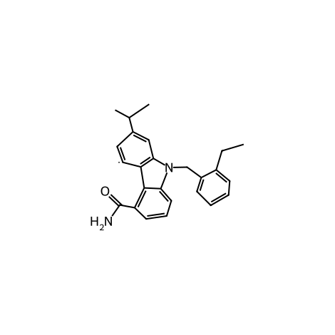 CCc1ccccc1Cn1c2cc(C(C)C)c[c]c2c2c(C(N)=O)cccc21